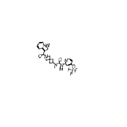 CN(C(=O)Nc1cc(OC(F)(F)F)ccn1)C1CC2(C1)CN(C(=O)c1cnn3ccccc13)C2